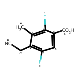 Cc1c(F)c(C(=O)O)cc(F)c1CC#N